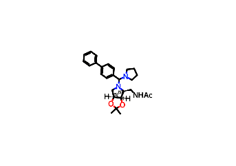 CC(=O)NC[C@H]1[C@H]2OC(C)(C)O[C@H]2CN1C(c1ccc(-c2ccccc2)cc1)N1CCCC1